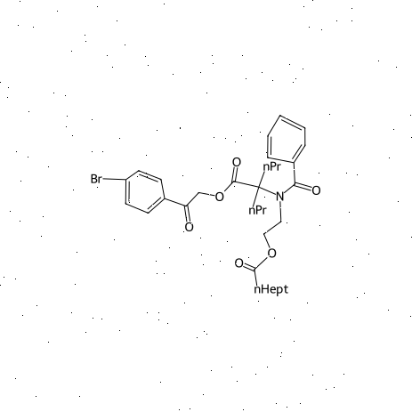 CCCCCCCC(=O)OCCN(C(=O)c1ccccc1)C(CCC)(CCC)C(=O)OCC(=O)c1ccc(Br)cc1